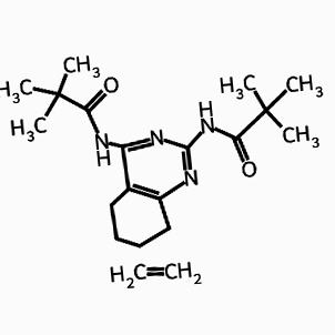 C=C.CC(C)(C)C(=O)Nc1nc2c(c(NC(=O)C(C)(C)C)n1)CCCC2